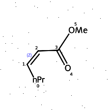 CCC/C=C\C(=O)OC